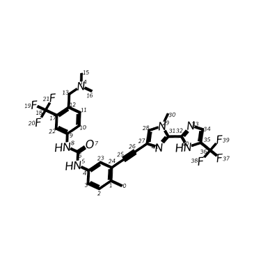 Cc1ccc(NC(=O)Nc2ccc(CN(C)C)c(C(F)(F)F)c2)cc1C#Cc1cn(C)c(-c2ncc(C(F)(F)F)[nH]2)n1